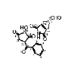 CN(C)C=O.O=C(c1ccccc1)C1CC(=O)N(O)C1=O.O=C1C=CC(=O)N1